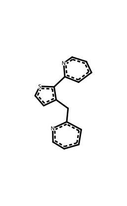 c1ccc(Cc2ccsc2-c2ccccn2)nc1